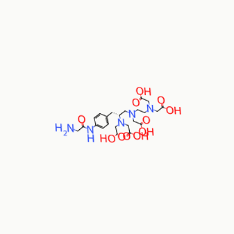 NCC(=O)Nc1ccc(C[C@H](CN(CCN(CC(=O)O)CC(=O)O)CC(=O)O)N(CC(=O)O)CC(=O)O)cc1